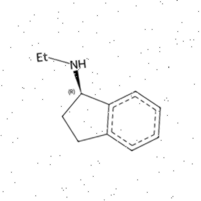 CCN[C@@H]1CCc2ccccc21